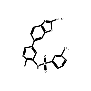 CC(=O)Nc1nc2ccc(-c3cnc(Cl)c(NS(=O)(=O)c4cccc(C(F)(F)F)c4)c3)cc2s1